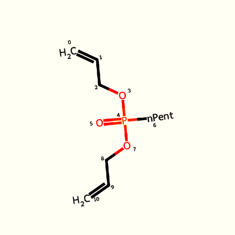 C=CCOP(=O)(CCCCC)OCC=C